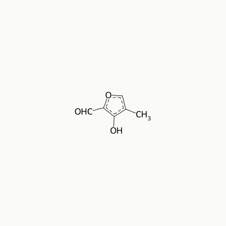 Cc1coc(C=O)c1O